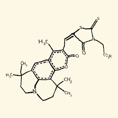 Cc1c(/C=C2/SC(=S)N(CC(=O)O)C2=O)c(=O)oc2c3c4c(cc12)C(C)(C)CCN4CCC3(C)C